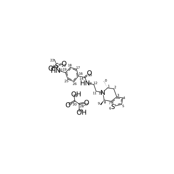 C[C@@H]1Cc2ccsc2[C@@H](C)N1CCNC(=O)c1ccc(NS(C)(=O)=O)cc1.O=C(O)C(=O)O